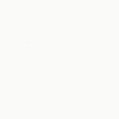 CC(C)(C)C(=O)[O-].CC(C)(C)C(=O)[O-].CC(C)(C)C(=O)[O-].CC(C)(C)C(=O)[O-].[Ir+4]